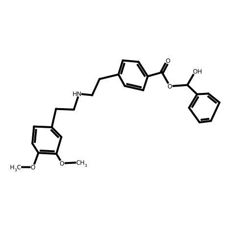 COc1ccc(CCNCCc2ccc(C(=O)OC(O)c3ccccc3)cc2)cc1OC